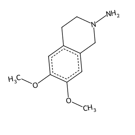 COc1cc2c(cc1OC)CN(N)CC2